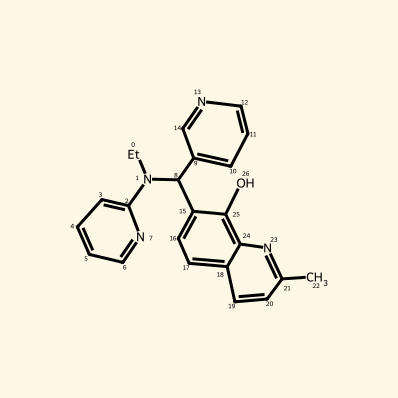 CCN(c1ccccn1)C(c1cccnc1)c1ccc2ccc(C)nc2c1O